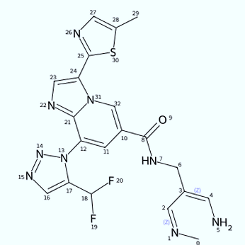 C/N=C\C(=C/N)CNC(=O)c1cc(-n2nncc2C(F)F)c2ncc(-c3ncc(C)s3)n2c1